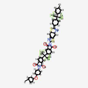 Cc1ccc(Oc2ccc(N3C(=O)c4ccc(C(c5ccc6c(c5)C(=O)N(c5nc7c(s5)=CC5N=C(c8ccc(C(c9ccc(C)cc9)(C(F)(F)F)C(F)(F)F)cc8)SC5C=7)C6=O)(C(F)(F)F)C(F)(F)F)cc4C3=O)cc2)cc1